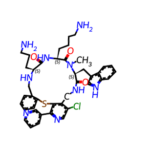 CN1C(=O)[C@H](CCCCN)NC(=O)[C@H](CCCN)NCc2ccccc2Sc2c(-c3cccnc3)ncc(Cl)c2CNC(=O)[C@@H]1Cc1c[nH]c2ccccc12